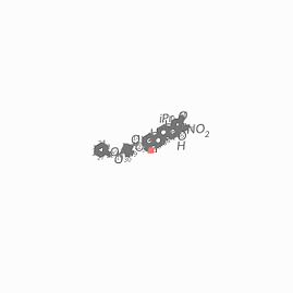 CC(C)C1=C2[C@H]3CC[C@@H]4[C@@]5(C)CC[C@H](OC(=O)[C@H]6C[C@@H](C(=O)OCc7ccccc7)C6(C)C)C(C)(C)[C@@H]5CC[C@@]4(C)[C@]3(C)CC[C@@]2(C(O)C[N+](=O)[O-])CC1=O